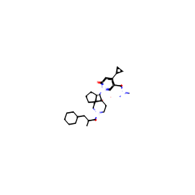 CC(CC1CCCCC1)C(=O)N1CC[C@](O)(Cn2cc(C(=O)N(C)C)c(C3CC3)cc2=O)C2(CCCC2)C1